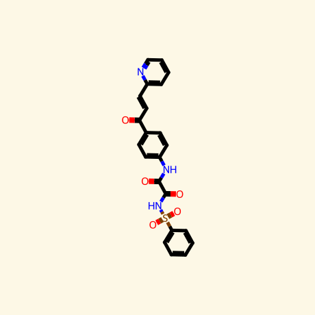 O=C(Nc1ccc(C(=O)/C=C/c2ccccn2)cc1)C(=O)NS(=O)(=O)c1ccccc1